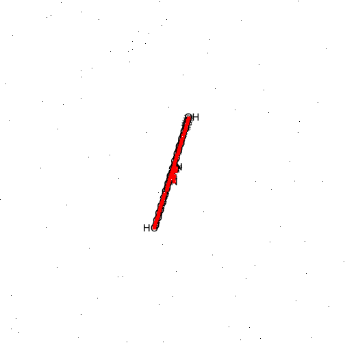 N#Cc1ccc(CSCc2ccc(C#N)cc2)cc1.OCCOCCOCCOCCOCCOCCOCCOCCOCCOCCOCCOCCOCCOCCOCCOCCOCCOCCOCCOCCOCCOCCOCCOCCOCCOCCOCCOCCOCCOCCO